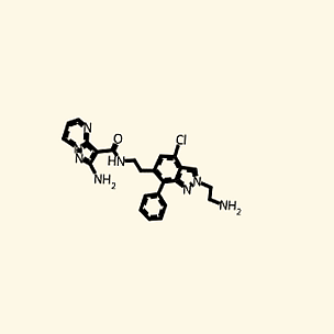 NCCn1cc2c(Cl)cc(CCNC(=O)c3c(N)nn4cccnc34)c(-c3ccccc3)c2n1